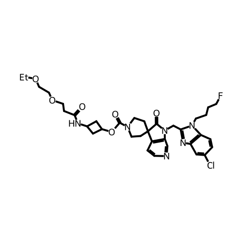 CCOCCOCCC(=O)NC1CC(OC(=O)N2CCC3(CC2)C(=O)N(Cc2nc4cc(Cl)ccc4n2CCCCF)c2cnccc23)C1